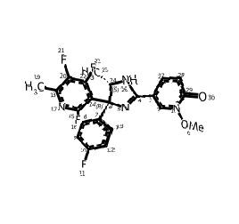 COn1cc(C2=N[C@](c3ccc(F)cc3)(c3c(F)nc(C)c(F)c3F)[C@H](C)N2)ccc1=O